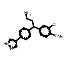 COc1ccc(C(CCN)c2ccc(-c3cn[nH]c3)cc2)cc1Cl